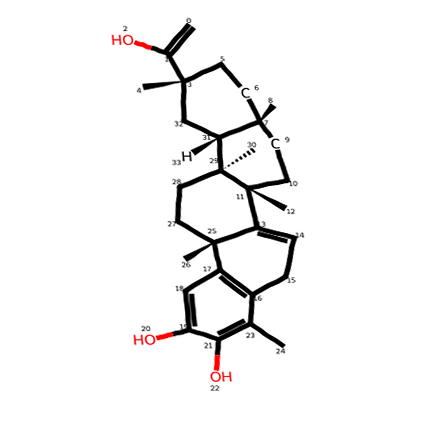 C=C(O)[C@]1(C)CC[C@]2(C)CC[C@]3(C)C4=CCc5c(cc(O)c(O)c5C)[C@]4(C)CC[C@@]3(C)[C@@H]2C1